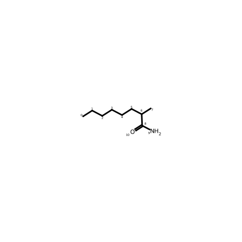 CCCCCCC(C)C(N)=O